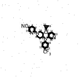 N#Cc1ccc(N2CCC(N(c3ccc(C(F)(F)F)cc3)c3cnccc3OC3CC3)CC2)nc1